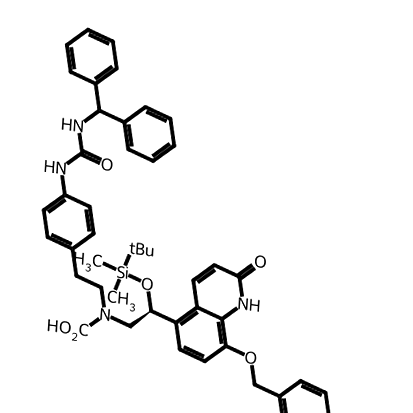 CC(C)(C)[Si](C)(C)O[C@H](CN(CCc1ccc(NC(=O)NC(c2ccccc2)c2ccccc2)cc1)C(=O)O)c1ccc(OCc2ccccc2)c2[nH]c(=O)ccc12